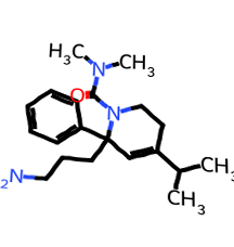 CC(C)C1=CC(CCCN)(c2ccccc2)N(C(=O)N(C)C)CC1